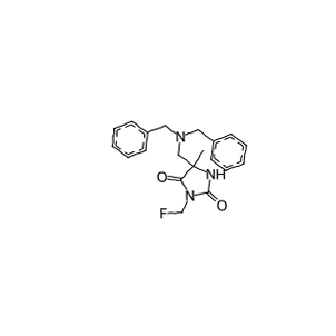 CC1(CN(Cc2ccccc2)Cc2ccccc2)NC(=O)N(CF)C1=O